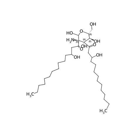 CCCCCCCCCCCC(O)CC(=O)[C@]1(N)C(O)O[C@H](CO)[C@@H](O)[C@@]1(O)C(=O)CC(O)CCCCCCCCCCC